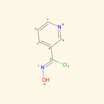 ON=C(Cl)c1cccnc1